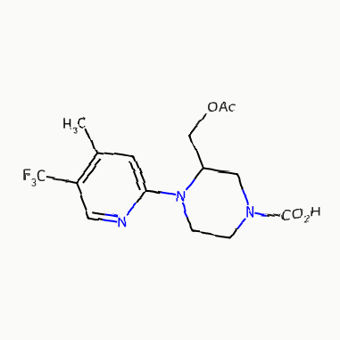 CC(=O)OCC1CN(C(=O)O)CCN1c1cc(C)c(C(F)(F)F)cn1